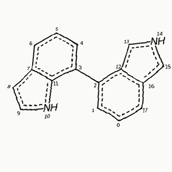 c1cc(-c2cccc3cc[nH]c23)c2c[nH]cc2c1